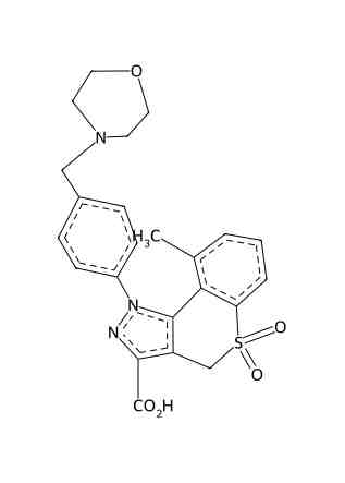 Cc1cccc2c1-c1c(c(C(=O)O)nn1-c1ccc(CN3CCOCC3)cc1)CS2(=O)=O